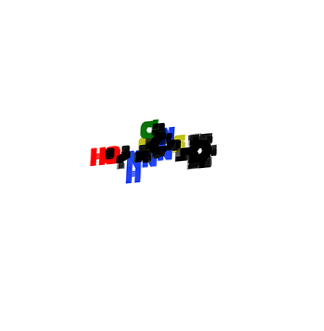 OCCNc1nc2nc(SCc3ccccc3)nc(Cl)c2s1